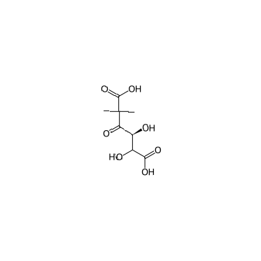 CC(C)(C(=O)O)C(=O)[C@@H](O)C(O)C(=O)O